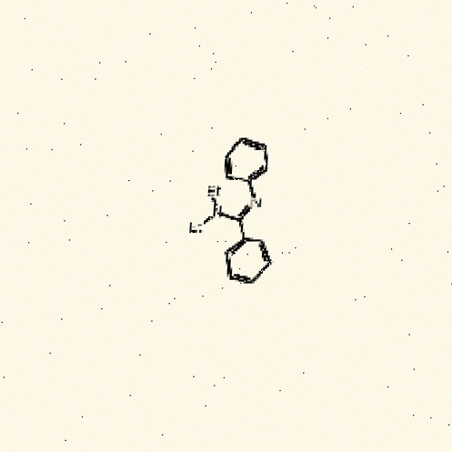 CCN(CC)C(=Nc1ccccc1)c1ccccc1